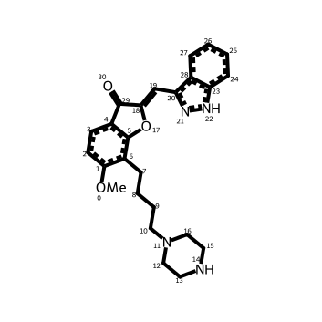 COc1ccc2c(c1CCCCN1CCNCC1)OC(=Cc1n[nH]c3ccccc13)C2=O